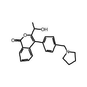 CC(O)c1oc(=O)c2ccccc2c1-c1ccc(CN2CCCC2)cc1